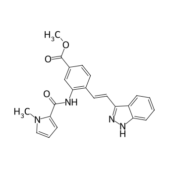 COC(=O)c1ccc(C=Cc2n[nH]c3ccccc23)c(NC(=O)c2cccn2C)c1